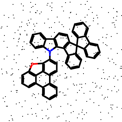 c1ccc2c(c1)-c1ccccc1C21c2ccccc2-c2c1ccc1c3ccccc3n(-c3ccc4c5ccccc5c5cccc6oc3c4c65)c21